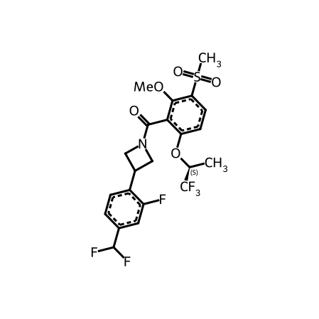 COc1c(S(C)(=O)=O)ccc(O[C@@H](C)C(F)(F)F)c1C(=O)N1CC(c2ccc(C(F)F)cc2F)C1